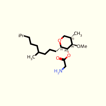 CO[C@H]1[C@H](OC(=O)CN)[C@H](CCCC(C)CCCC(C)C)OC[C@@H]1C